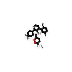 CC12CCC(C(=O)Nc3c(-c4cc(F)ccc4F)ccnc3C3CCC(F)(F)CC3)(CC1)CO2